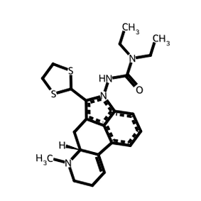 CCN(CC)C(=O)Nn1c(C2SCCS2)c2c3c(cccc31)C1=CCCN(C)[C@@H]1C2